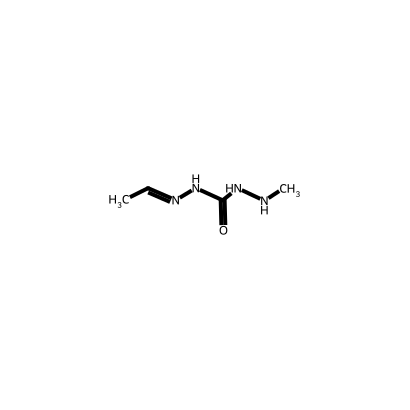 C/C=N/NC(=O)NNC